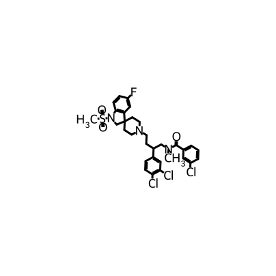 CN(CC(CCN1CCC2(CC1)CN(S(C)(=O)=O)c1ccc(F)cc12)c1ccc(Cl)c(Cl)c1)C(=O)c1cccc(Cl)c1